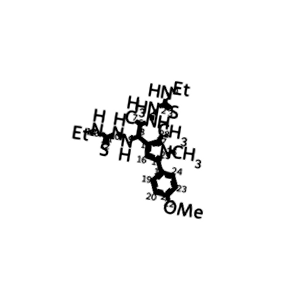 CCNC(=S)NNC(C)C(NNC(=S)NCC)c1cc(-c2ccc(OC)cc2)n(C)c1C